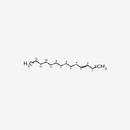 CCC=CCCCCCCCCCC